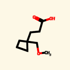 COCC1(CCC(=O)O)CCC1